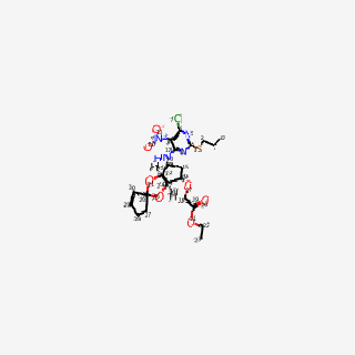 CCCSc1nc(Cl)c([N+](=O)[O-])c(N[C@@H]2C[C@H](OCC(=O)OCC)[C@H]3OC4(CCCC4)O[C@H]32)n1